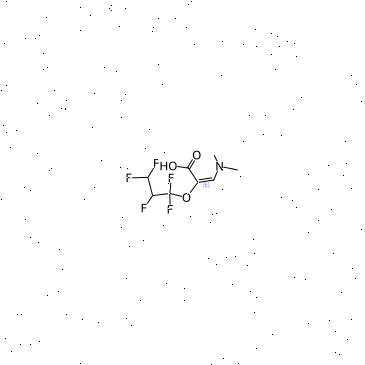 CN(C)/C=C(/OC(F)(F)C(F)C(F)F)C(=O)O